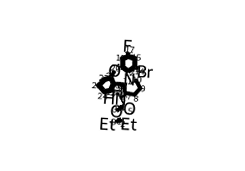 CCC(CC)OC(=O)N[C@@H]1CCCN2c3c(Br)cc(F)cc3Oc3ccccc3[C@@H]12